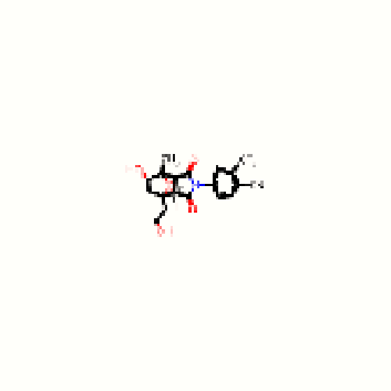 CC12OC(CCO)(CC1O)[C@@H]1C(=O)N(c3ccc(C#N)c(C(F)(F)F)c3)C(=O)C12